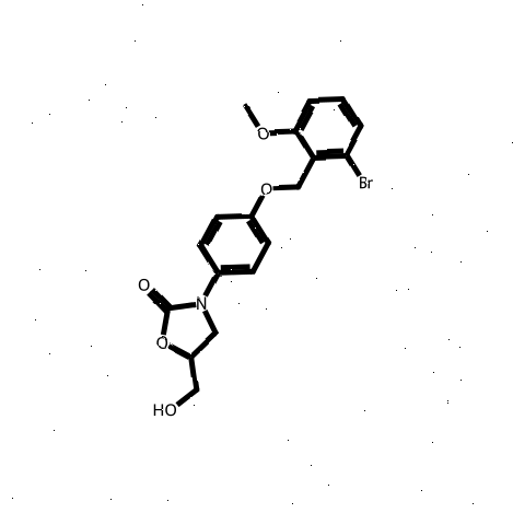 COc1cccc(Br)c1COc1ccc(N2CC(CO)OC2=O)cc1